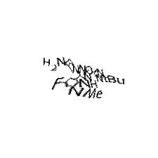 CNc1cc(F)cc2c1[nH]c1nc(Oc3cnc(C(C)(C)C)nc3)nc(N3CC4CC3CC4N)c12